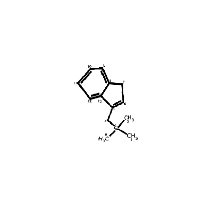 C[Si](C)(C)CC1=CCc2ccccc21